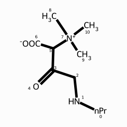 CCCNCC(=O)C(C(=O)[O-])[N+](C)(C)C